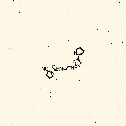 N#C[C@@H]1CCCN1C(=O)CNCCNc1nc(-c2ccccn2)cs1